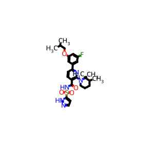 CC(C)COc1cc(F)cc(-c2ccc(C(=O)NS(=O)(=O)c3ccn[nH]3)c(N3CCCC(C)C3(C)C)n2)c1